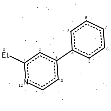 CCc1cc(-c2cc[c]cc2)ccn1